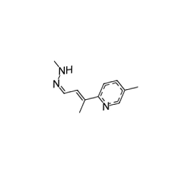 CN/N=C\C=C(/C)c1ccc(C)cn1